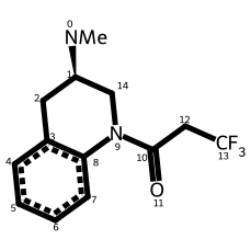 CN[C@@H]1Cc2ccccc2N(C(=O)CC(F)(F)F)C1